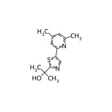 Cc1cc(C)nc(-c2cnc(C(C)(C)O)s2)c1